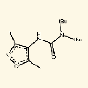 Cc1noc(C)c1NC(=O)N(C(C)(C)C)C(C)(C)C